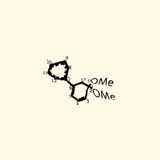 COC1(OC)C=CC=C(c2ccccc2)C1